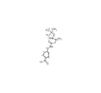 CN(CC(=O)NOc1ccc([N+](=O)[O-])cc1)C(=O)OC(C)(C)C